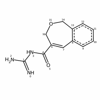 N=C(N)NC(=O)C1=Cc2ccccc2COC1